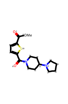 COC(=O)c1ccc(C(=O)N2CCC(N3CCCC3)CC2)s1